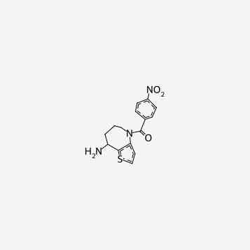 NC1CCCN(C(=O)c2ccc([N+](=O)[O-])cc2)c2ccsc21